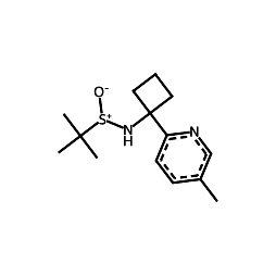 Cc1ccc(C2(N[S+]([O-])C(C)(C)C)CCC2)nc1